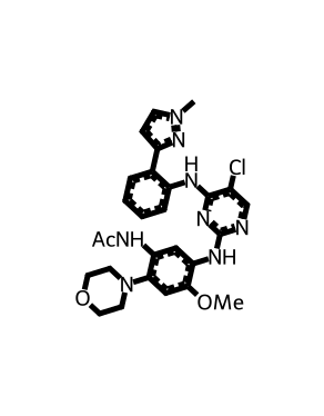 COc1cc(N2CCOCC2)c(NC(C)=O)cc1Nc1ncc(Cl)c(Nc2ccccc2-c2ccn(C)n2)n1